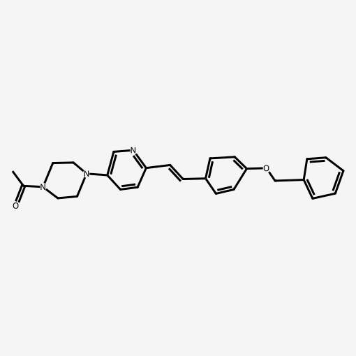 CC(=O)N1CCN(c2ccc(C=Cc3ccc(OCc4ccccc4)cc3)nc2)CC1